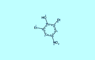 CCc1cc([N+](=O)[O-])cc(CC)c1O